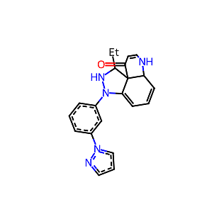 CCC1NN(c2cccc(-n3cccn3)c2)C2=CC=CC3NC=CC(=O)C231